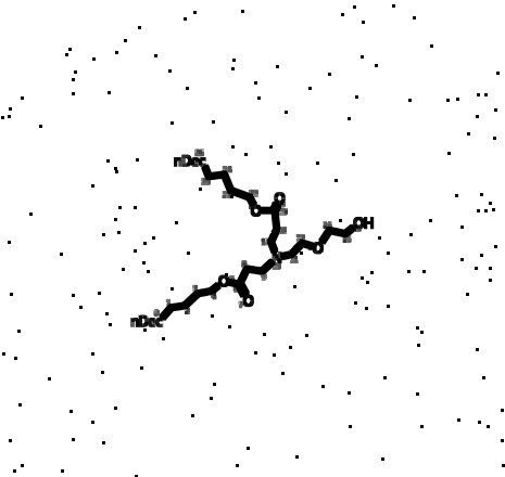 CCCCCCCCCCCCCCOC(=O)CCN(CCOCCO)CCC(=O)OCCCCCCCCCCCCCC